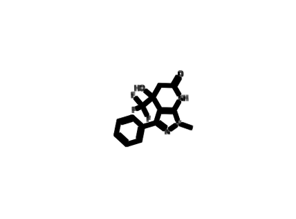 Cn1nc(-c2ccccc2)c2c1NC(=O)CC2(O)C(F)(F)F